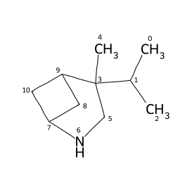 CC(C)C1(C)CNC2CC1C2